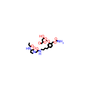 CCC(=O)N[C@H]1CCN(CC(=O)NCCCCc2ccc(COC(N)=O)c(O[C@H]3OC(O)CC(C=O)O3)c2)C1=O